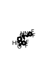 CN(C(=O)c1cc2cc(F)c(F)cc2[nH]1)C1CCCc2[nH]c(=O)c3cc(F)c(F)cc3c21